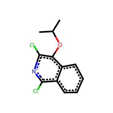 CC(C)Oc1c(Cl)nc(Cl)c2ccccc12